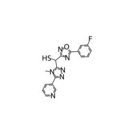 Cn1c(-c2cccnc2)nnc1C(S)c1noc(-c2cccc(F)c2)n1